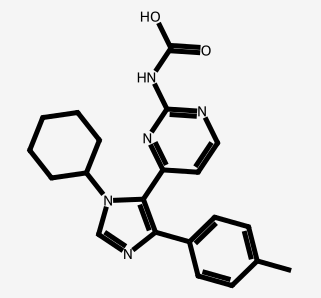 Cc1ccc(-c2ncn(C3CCCCC3)c2-c2ccnc(NC(=O)O)n2)cc1